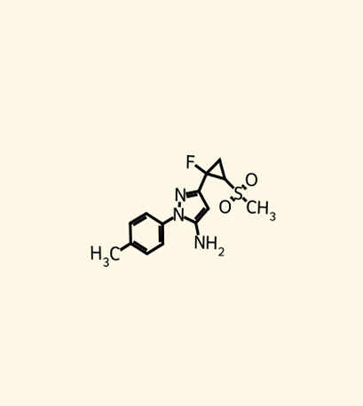 Cc1ccc(-n2nc(C3(F)CC3S(C)(=O)=O)cc2N)cc1